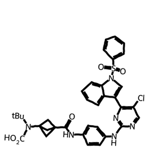 CC(C)(C)N(C(=O)O)C12CC(C(=O)Nc3ccc(Nc4ncc(Cl)c(-c5cn(S(=O)(=O)c6ccccc6)c6ccccc56)n4)cc3)(C1)C2